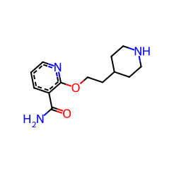 NC(=O)c1cccnc1OCCC1CCNCC1